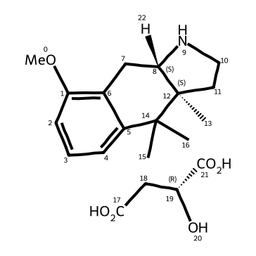 COc1cccc2c1C[C@@H]1NCC[C@@]1(C)C2(C)C.O=C(O)C[C@@H](O)C(=O)O